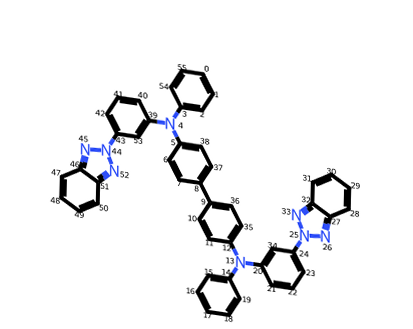 c1ccc(N(c2ccc(-c3ccc(N(c4ccccc4)c4cccc(-n5nc6ccccc6n5)c4)cc3)cc2)c2cccc(-n3nc4ccccc4n3)c2)cc1